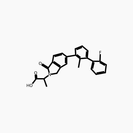 Cc1c(-c2ccc3c(c2)CN(C(C)C(=O)O)C3=O)cccc1-c1ccccc1F